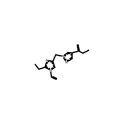 C=Cn1cc(Cn2cc(C(=C)CC)cn2)nc1CC